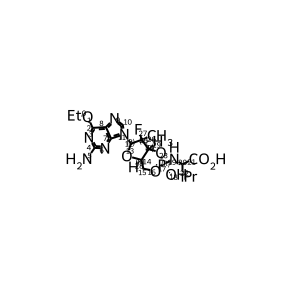 CCOc1nc(N)nc2c1ncn2[C@@H]1O[C@@H]2CO[P@](O)(NC(C(=O)O)C(C)C)O[C@H]2[C@@]1(C)F